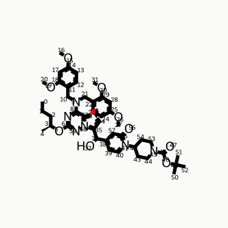 CCC[C@H](C)Oc1nc(N(Cc2ccc(OC)cc2OC)Cc2ccc(OC)cc2OC)c2ncc(C(O)c3ccn(C4CCN(C(=O)OC(C)(C)C)CC4)c(=O)c3)n2n1